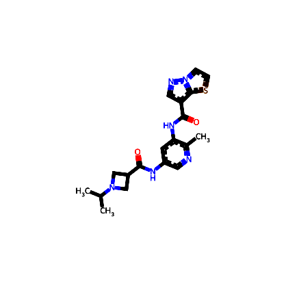 Cc1ncc(NC(=O)C2CN(C(C)C)C2)cc1NC(=O)c1cnn2ccsc12